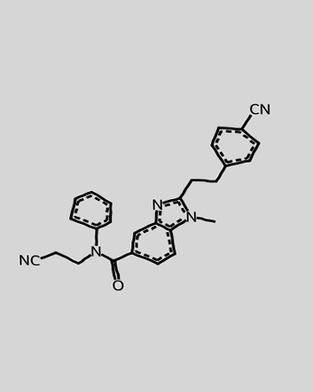 Cn1c(CCc2ccc(C#N)cc2)nc2cc(C(=O)N(CCC#N)c3ccccc3)ccc21